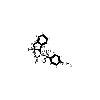 Cc1ccc(S(=O)(=O)N2[C@@H]3c4ccccc4C[C@@H]3OS2=O)cc1